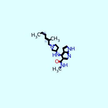 C/C=C\C=C(/C)CN1CCC(Nc2c(C(=O)NC)cnc3[nH]ccc23)C1